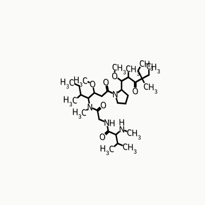 CCC(C)C(C(CC(=O)N1CCCC1C(OC)C(C)C(=O)C(C)(CC)CC)OC)N(C)C(=O)CNC(=O)C(NC)C(C)C